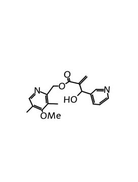 C=C(C(=O)OCc1ncc(C)c(OC)c1C)C(O)c1cccnc1